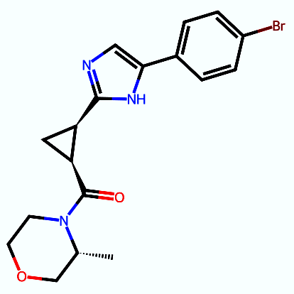 C[C@@H]1COCCN1C(=O)[C@H]1C[C@H]1c1ncc(-c2ccc(Br)cc2)[nH]1